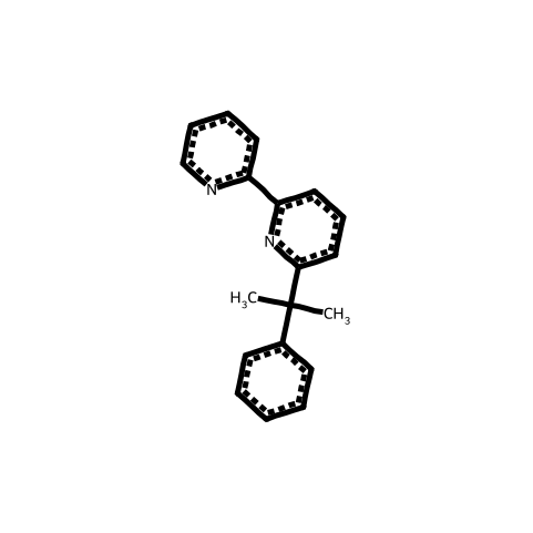 CC(C)(c1ccccc1)c1cccc(-c2ccccn2)n1